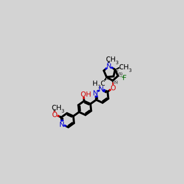 COc1cc(-c2ccc(-c3ccc(O[C@@H]4[C@@H](F)[C@]5(C)C[C@@]4(C)CN5C)nn3)c(O)c2)ccn1